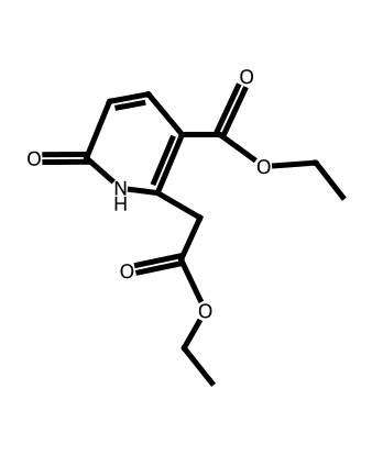 CCOC(=O)Cc1[nH]c(=O)ccc1C(=O)OCC